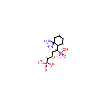 NC1(N)CCCCC1C(CCCP(=O)(O)O)P(=O)(O)O